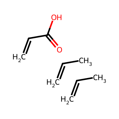 C=CC.C=CC.C=CC(=O)O